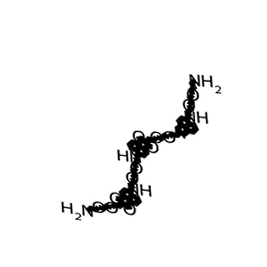 NCCCOCCOCCNc1ccc2c3c(cccc13)CN(CCOCCOCCN1C(=O)c3cccc4c(NCCOCCOCCNc5ccc6c7c(cccc57)C(=O)N(CCOCCOCCN)C6=O)ccc(c34)C1=O)C2